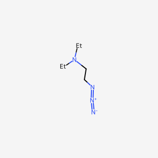 CCN(CC)CCN=[N+]=[N-]